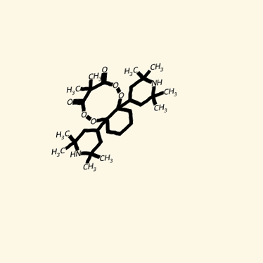 CC1(C)CC(C23CCCCC2(C2CC(C)(C)NC(C)(C)C2)OOC(=O)C(C)(C)C(=O)OO3)CC(C)(C)N1